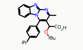 Cc1nc2nc3ccccc3n2c(-c2ccc(C(C)C)cc2)c1C(OC(C)(C)C)C(=O)O